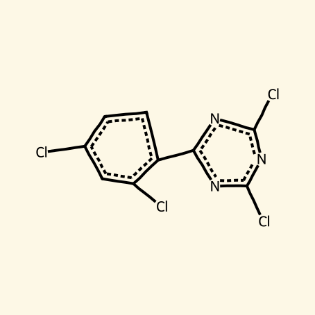 Clc1ccc(-c2nc(Cl)nc(Cl)n2)c(Cl)c1